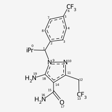 CC(C)C(c1ccc(C(F)(F)F)cc1)n1nc(CC(F)(F)F)c(C(N)=O)c1N